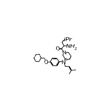 CC(C)=CCN(c1ccc(OCC2CCCCC2)cc1)[C@H]1CCCN(C(=O)C(N)CC(C)C)C1